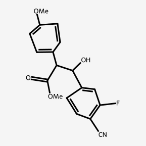 COC(=O)C(c1ccc(OC)cc1)C(O)c1ccc(C#N)c(F)c1